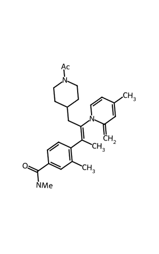 C=C1C=C(C)C=CN1/C(CC1CCN(C(C)=O)CC1)=C(\C)c1ccc(C(=O)NC)cc1C